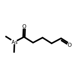 C[As](C)C(=O)CCCC=O